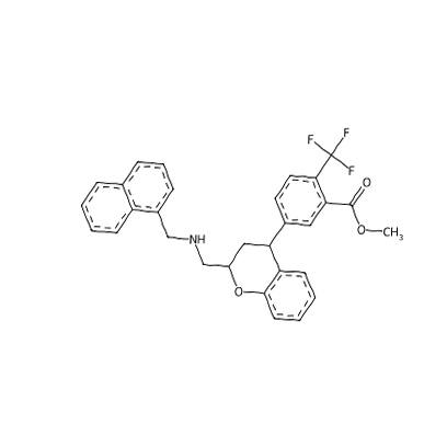 COC(=O)c1cc(C2CC(CNCc3cccc4ccccc34)Oc3ccccc32)ccc1C(F)(F)F